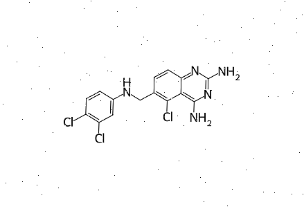 Nc1nc(N)c2c(Cl)c(CNc3ccc(Cl)c(Cl)c3)ccc2n1